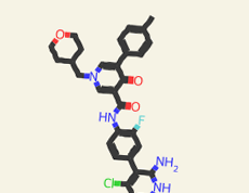 Cc1ccc(-c2cn(CC3CCOCC3)cc(C(=O)Nc3ccc(C4=C(Cl)C=CNC4N)cc3F)c2=O)cc1